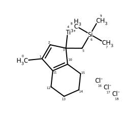 CC1=C[C]([Ti+3])(C[Si](C)(C)C)C2=C1CCCC2.[Cl-].[Cl-].[Cl-]